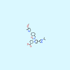 COc1ccc([C@H]2CC[C@H](CN(c3cc(-c4cnn(C(C)C)c4)ccn3)C(=O)[C@H]3CC[C@H](C(=O)OC)CC3)CC2)nc1C